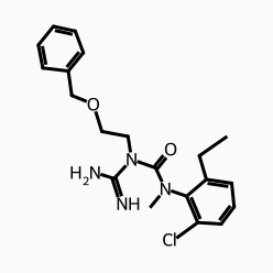 CCc1cccc(Cl)c1N(C)C(=O)N(CCOCc1ccccc1)C(=N)N